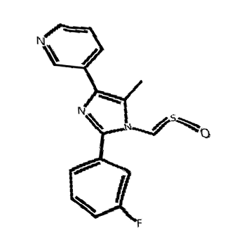 Cc1c(-c2cccnc2)nc(-c2cccc(F)c2)n1C=S=O